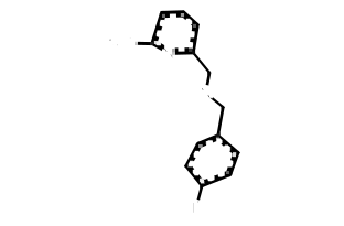 CC(=O)Oc1cccc(CNCc2ccc(F)cc2)n1